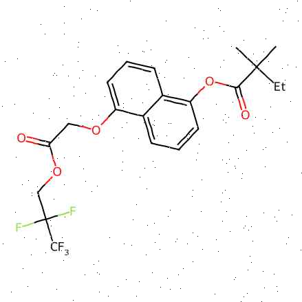 CCC(C)(C)C(=O)Oc1cccc2c(OCC(=O)OCC(F)(F)C(F)(F)F)cccc12